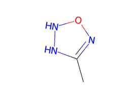 CC1=NONN1